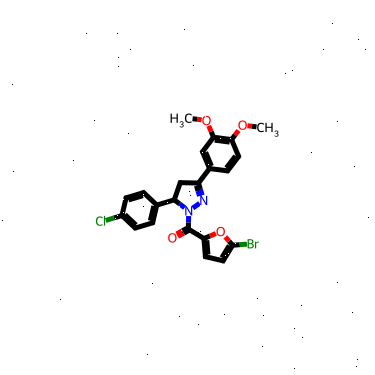 COc1ccc(C2=NN(C(=O)c3ccc(Br)o3)C(c3ccc(Cl)cc3)C2)cc1OC